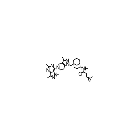 Cc1nc(N2CCc3c(c(C)nn3CC34CCCC(C3)C(NC(=O)CCN(C)C)CC4)C2)c2c(n1)c(C)nn2C